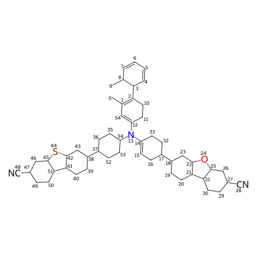 CC1=C(C2C=CC=CC2C)CCC(N(C2=CCC(C3CCC4C(C3)OC3CC(C#N)CCC34)CC2)C2CCC(C3CCC4C(C3)SC3CC(C#N)CCC34)CC2)=C1